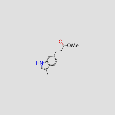 COC(=O)CCc1ccc2c(C)c[nH]c2c1